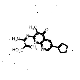 C=C(C(=O)O)/C(N)=N\c1oc2ncc(C3=CCCC3)cc2c(=O)c1C